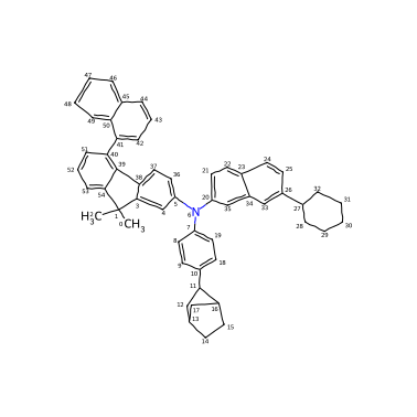 CC1(C)c2cc(N(c3ccc(C4CC5CCC4C5)cc3)c3ccc4ccc(C5CCCCC5)cc4c3)ccc2-c2c(-c3cccc4ccccc34)cccc21